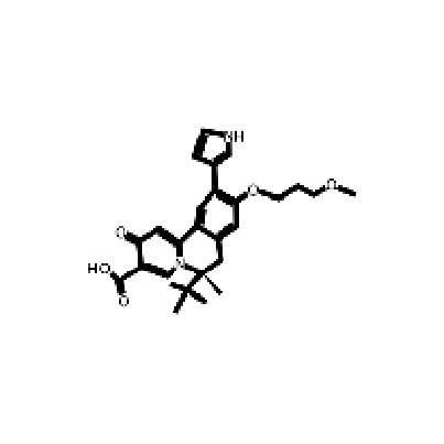 COCCCOc1cc2c(cc1-c1cc[nH]c1)-c1cc(=O)c(C(=O)O)cn1[C@@](C)(C(C)(C)C)C2